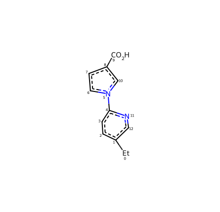 CCc1ccc(-n2ccc(C(=O)O)c2)nc1